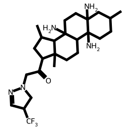 CC1CCC2(N)C3CCC4(C)C(C(=O)CN5CC(C(F)(F)F)C=N5)CC(C)C4C3(N)CCC2(N)C1